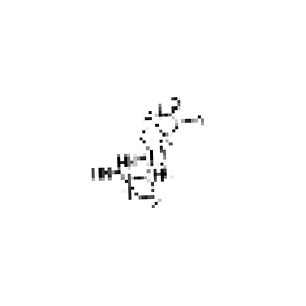 CNC(=N)N[C@]12CCC3(CC3)C[C@H]1[C@H]1C(=O)C=C3[C@@]4(C)C=C(C#N)C(=O)C(C)(C)[C@@H]4CC[C@@]3(C)[C@]1(C)CC2